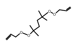 C=CCOOC(C)(C)CCC(C)(C)OOCC=C